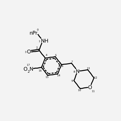 CCCNC(=O)c1cc(CN2CCOCC2)ccc1[N+](=O)[O-]